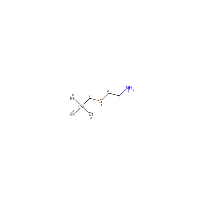 CC[Si](CC)(CC)CSCCN